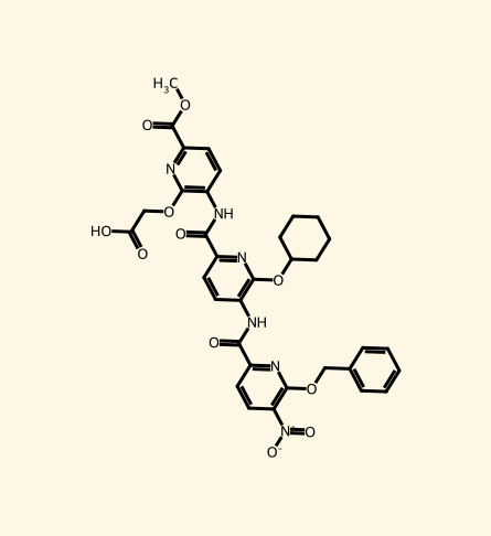 COC(=O)c1ccc(NC(=O)c2ccc(NC(=O)c3ccc([N+](=O)[O-])c(OCc4ccccc4)n3)c(OC3CCCCC3)n2)c(OCC(=O)O)n1